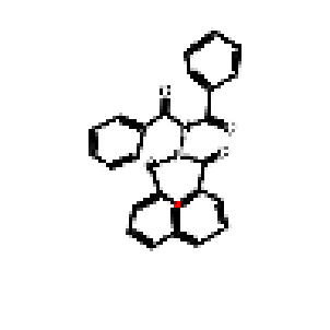 O=C(c1ccccc1)N(C(=O)c1ccccc1)N(C(=O)c1ccccc1)C(=O)c1ccccc1